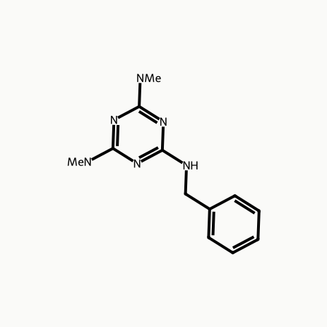 CNc1nc(NC)nc(NCc2ccccc2)n1